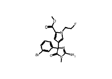 COC(=O)c1cc(C2(c3cccc(Br)c3)N=C(N)N(C)C2=O)cn1CCF